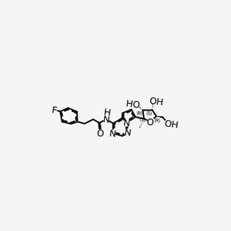 C[C@@]1(c2ccc3c(NC(=O)CCc4ccc(F)cc4)ncnn23)O[C@H](CO)[C@@H](O)[C@H]1O